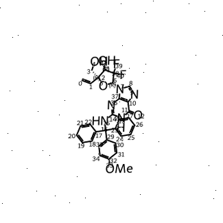 C=C[C@]1(CO)O[C@@H](n2cnc3c(=O)[nH]c(NC(c4ccccc4)(c4ccccc4)c4ccc(OC)cc4)nc32)C(F)(F)[C@@H]1O